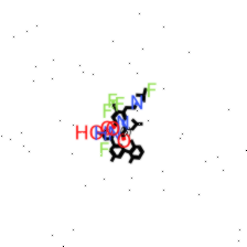 Cc1cc(-c2c(C)cccc2C)cc(C(CC(=O)O)NC(=O)[C@H](CC(C)C)n2cc(CCN3CC(CF)C3)c(C(F)(F)F)cc2=O)c1F